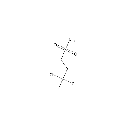 CC(Cl)(Cl)CCS(=O)(=O)C(F)(F)F